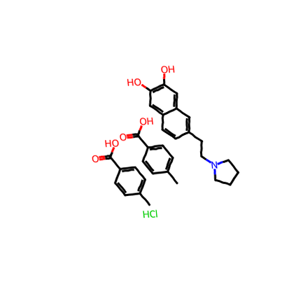 Cc1ccc(C(=O)O)cc1.Cc1ccc(C(=O)O)cc1.Cl.Oc1cc2ccc(CCN3CCCC3)cc2cc1O